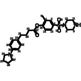 Cc1cc(S(=O)(=O)N2CCNCC2)ccc1OC(=O)CCCc1ccc(N2CCCC2)cc1